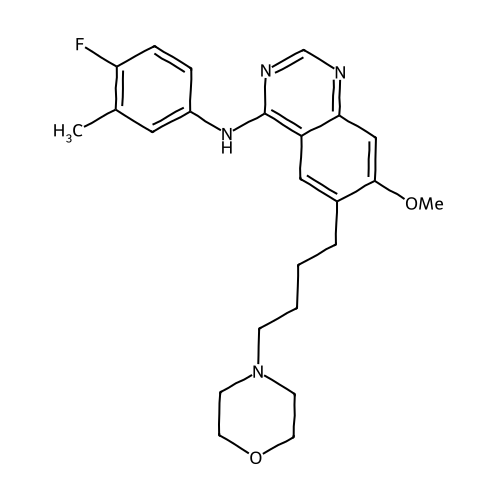 COc1cc2ncnc(Nc3ccc(F)c(C)c3)c2cc1CCCCN1CCOCC1